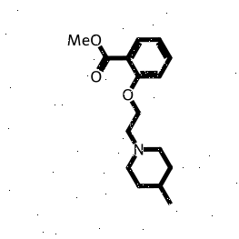 COC(=O)c1ccccc1OCCN1CCC(C)CC1